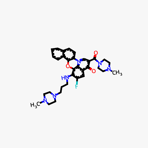 CN1CCN(CCCNc2c(F)cc3c(=O)c(C(=O)N4CCN(C)CC4)cn4c3c2Oc2c-4ccc3ccccc23)CC1